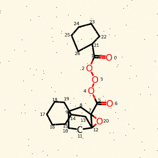 O=C(OOOC(=O)C12CCCCC1(CC1CCCCC1)O2)C1CCCCC1